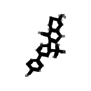 CCS(=O)(=O)c1cc(-c2ccc(F)nc2)cnc1-c1coc2cc(C(F)(F)F)ccc2c1=O